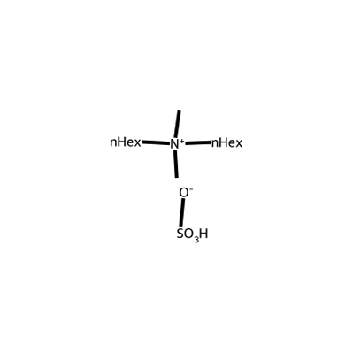 CCCCCC[N+](C)(C)CCCCCC.O=S(=O)([O-])O